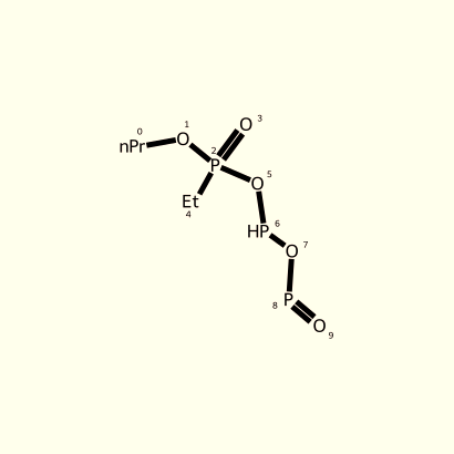 CCCOP(=O)(CC)OPOP=O